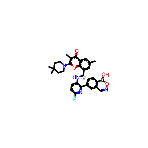 Cc1cc([C@H](C)Nc2ccc(F)nc2-c2ccc3c(c2)C=NOB3O)c2oc(N3CCC(C)(C)CC3)c(C)c(=O)c2c1